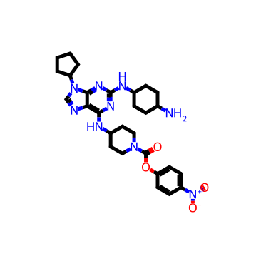 NC1CCC(Nc2nc(NC3CCN(C(=O)Oc4ccc([N+](=O)[O-])cc4)CC3)c3ncn(C4CCCC4)c3n2)CC1